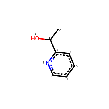 CC(O)c1cc[c]cn1